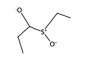 CCC([O])[S+]([O-])CC